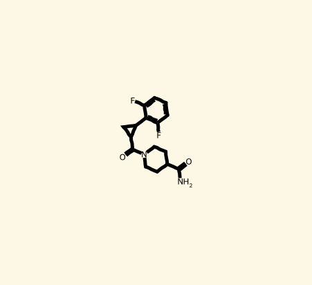 NC(=O)C1CCN(C(=O)C2CC2c2c(F)cccc2F)CC1